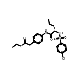 CCC[C@H](NS(=O)(=O)c1ccc(Cl)cc1)C(=O)Nc1ccc(CC(=O)OCC)cc1